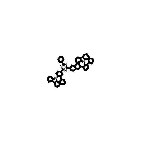 c1ccc(-c2nc(-c3ccc(-n4c5ccccc5c5ccccc54)c(-c4ccccc4)c3)nc(-c3ccc4cc(-c5cccc(-c6ccccc6)c5-n5c6ccccc6c6ccccc65)ccc4c3)n2)cc1